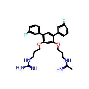 CC(=N)NCCCOc1cc(OCCCNC(=N)N)c(-c2cccc(F)c2)cc1-c1cccc(F)c1